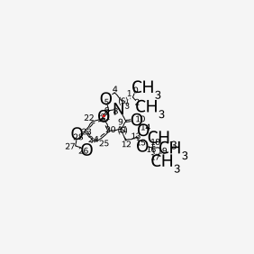 CC(C)[C@H]1COC(=O)N1C(=O)[C@@H](CC(=O)OC(C)(C)C)c1ccc2c(c1)OCO2